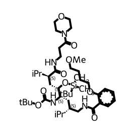 COCCCCOc1ccccc1C(=O)NC[C@@H](C[C@H](NC(=O)OC(C)(C)C)[C@H](C[C@H](C(=O)NCCC(=O)N1CCOCC1)C(C)C)O[Si](C)(C)C(C)(C)C)C(C)C